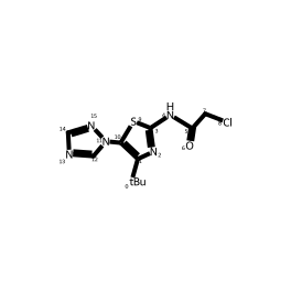 CC(C)(C)c1nc(NC(=O)CCl)sc1-n1cncn1